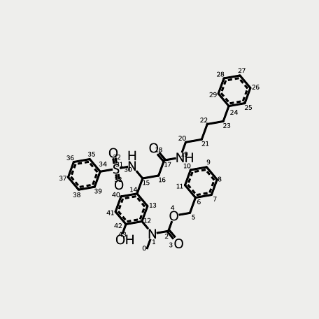 CN(C(=O)OCc1ccccc1)c1cc(C(CC(=O)NCCCCc2ccccc2)NS(=O)(=O)c2ccccc2)ccc1O